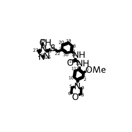 COc1cc(N2CCOCC2)ccc1NC(=O)Nc1cccc(CSc2nncn2C)c1